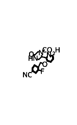 N#Cc1ccc(COc2cccnc2C2CNC(=O)CN2C(=O)O)c(F)c1